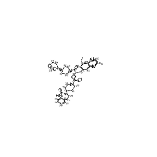 Cc1cc(CC(OC(=O)N2CCC(N3CCc4ccccc4NC3=O)CC2)C(=O)N2CCN(C3CCOCC3)CC2)cc2nccnc12